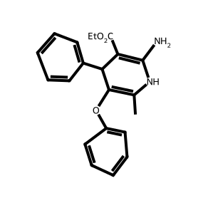 CCOC(=O)C1=C(N)NC(C)=C(Oc2ccccc2)C1c1ccccc1